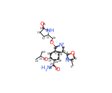 Cc1coc(-c2cnc(OCC3CCC(=O)N3)c3cc(OC(C)C)c(C(N)=O)cc23)n1